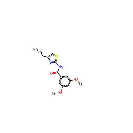 CCOc1cc(OCC)cc(C(=O)Nc2nc(CC(=O)O)cs2)c1